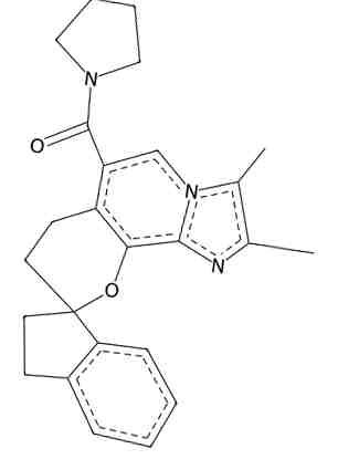 Cc1nc2c3c(c(C(=O)N4CCCC4)cn2c1C)CCC1(CCc2ccccc21)O3